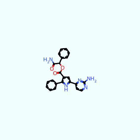 NC(=O)C(OC(=O)c1cc(-c2ccnc(N)n2)[nH]c1-c1ccccc1)c1ccccc1